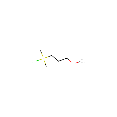 CCOCCCS(C)(C)Cl